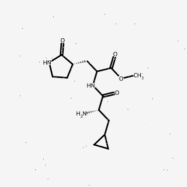 COC(=O)C(C[C@@H]1CCNC1=O)NC(=O)[C@@H](N)CC1CC1